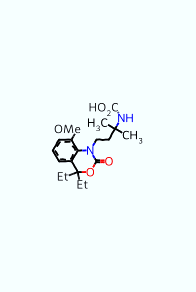 CCC1(CC)OC(=O)N(CCC(C)(C)NC(=O)O)c2c(OC)cccc21